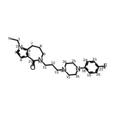 CCn1ccc2c1CCCN(CCCN1CCN(c3ccc(F)cc3)CC1)C2=O